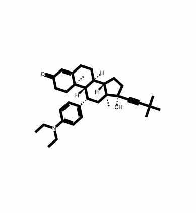 CCN(CC)c1ccc([C@H]2C[C@@]3(C)[C@@H](CC[C@@]3(O)C#CC(C)(C)C)[C@@H]3CCC4=CC(=O)CC[C@]4(C)[C@H]32)cc1